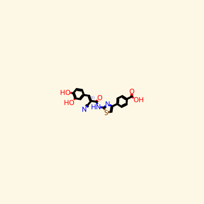 N#C/C(=C\c1ccc(O)c(O)c1)C(=O)Nc1nc(-c2ccc(C(=O)O)cc2)cs1